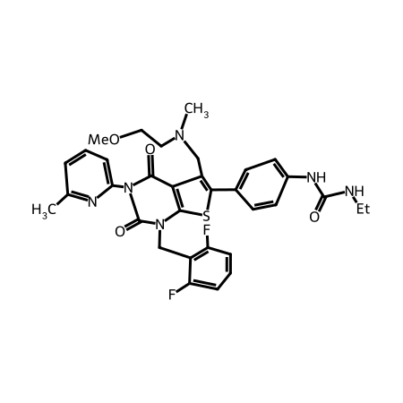 CCNC(=O)Nc1ccc(-c2sc3c(c2CN(C)CCOC)c(=O)n(-c2cccc(C)n2)c(=O)n3Cc2c(F)cccc2F)cc1